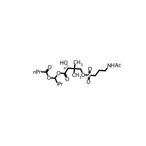 CCCC(=O)OC(OC(=O)[C@H](O)C(C)(C)COS(=O)(=O)CCCNC(C)=O)C(C)C